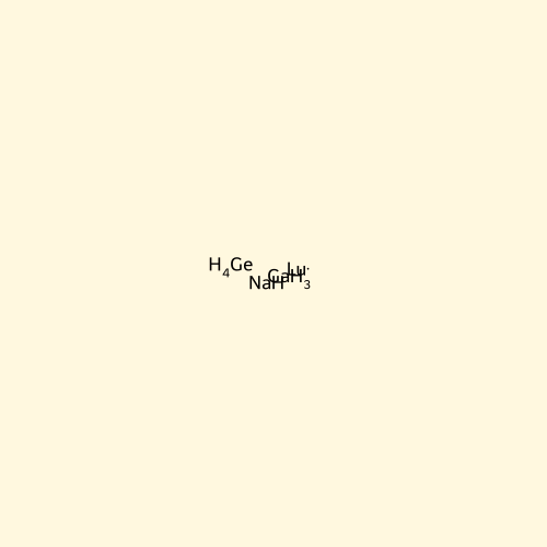 [GaH3].[GeH4].[Lu].[NaH]